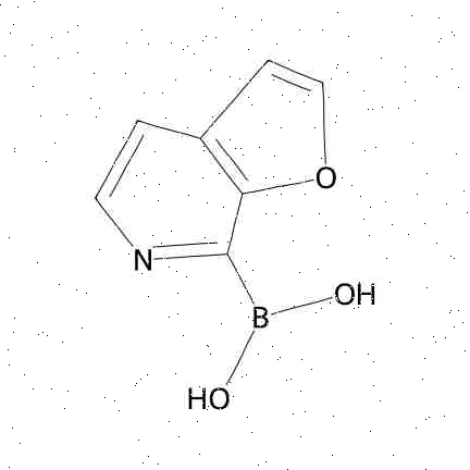 OB(O)c1nccc2ccoc12